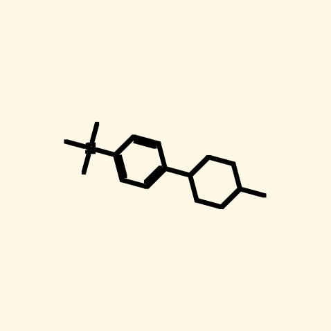 CC1CCC(c2ccc([Si](C)(C)C)cc2)CC1